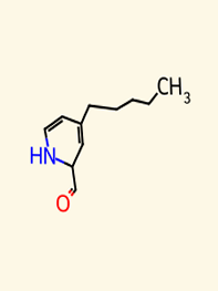 CCCCCC1=CC(C=O)NC=C1